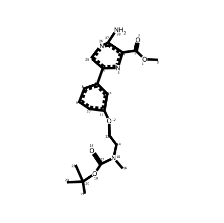 COC(=O)c1nc(-c2cccc(OCCN(C)C(=O)OC(C)(C)C)c2)cnc1N